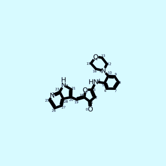 O=C1C=C(Nc2ccccc2N2CCOCC2)OC1=Cc1c[nH]c2ncccc12